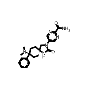 CN(C)[C@]1(c2ccccc2)CC[C@]2(CC1)CN(c1cnc(C(N)=O)nc1)C(=O)N2